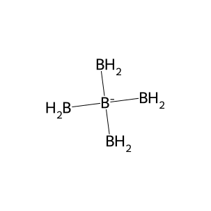 B[B-](B)(B)B